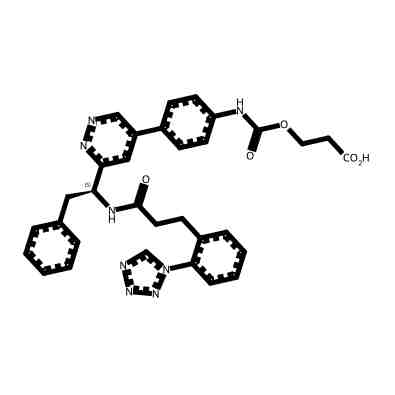 O=C(O)CCOC(=O)Nc1ccc(-c2cnnc([C@H](Cc3ccccc3)NC(=O)CCc3ccccc3-n3cnnn3)c2)cc1